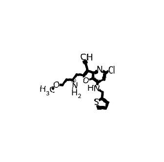 C#Cc1c(C[C@@H](N)CCOC)oc2c(NCc3cccs3)cc(Cl)nc12